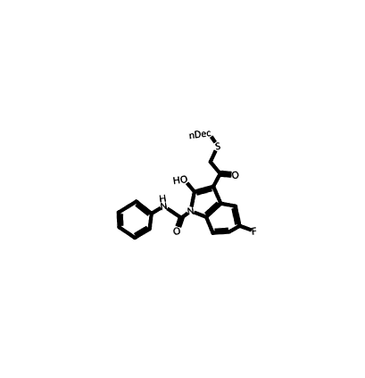 CCCCCCCCCCSCC(=O)c1c(O)n(C(=O)Nc2ccccc2)c2ccc(F)cc12